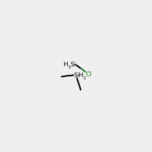 C[SiH2]C.[SiH3]Cl